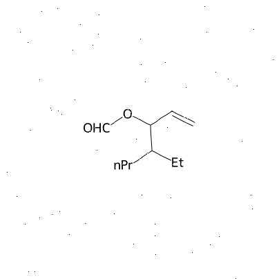 C=CC(OC=O)C(CC)CCC